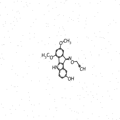 C#CCON=C1c2cc(OC)cc(OC)c2-c2[nH]c3ccc(O)cc3c21